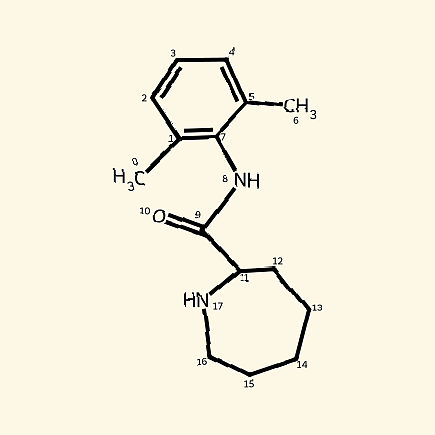 Cc1cccc(C)c1NC(=O)C1CCCCCN1